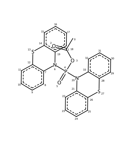 CC(=O)OP(=O)(N1c2ccccc2Sc2ccccc21)N1c2ccccc2Sc2ccccc21